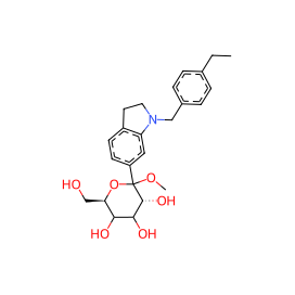 CCc1ccc(CN2CCc3ccc(C4(OC)O[C@H](CO)C(O)C(O)[C@H]4O)cc32)cc1